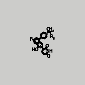 CC(C)N1CCC(c2cc(F)cc3c2CN(C2CCC(=O)NC2=O)C3O)CC1